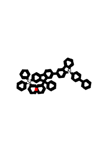 c1ccc(-c2ccc(-n3c4ccccc4c4cc(-c5ccc6c(c5)C(c5ccccc5)(c5ccccc5)c5cc([Si](c7ccccc7)(c7ccccc7)c7ccccc7)ccc5-6)ccc43)cc2)cc1